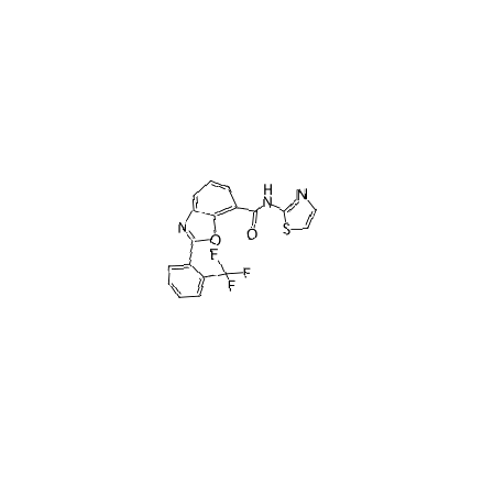 O=C(Nc1nccs1)c1cccc2nc(-c3ccccc3C(F)(F)F)oc12